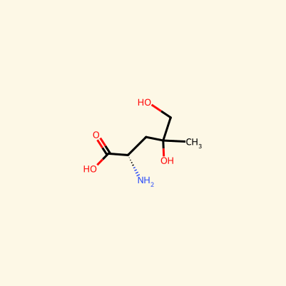 CC(O)(CO)C[C@H](N)C(=O)O